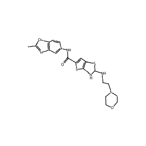 Cc1nc2cc(NC(=O)c3cc4c(s3)NC(NCCN3CCOCC3)S4)ccc2o1